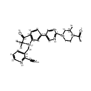 CC(=O)N1CCN(c2ncc(-c3ccc4c(c3)N(Cc3cccnc3C#N)C(C)(C)C4=O)cn2)C[C@H]1C